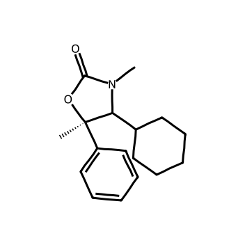 CN1C(=O)O[C@](C)(c2ccccc2)C1C1CCCCC1